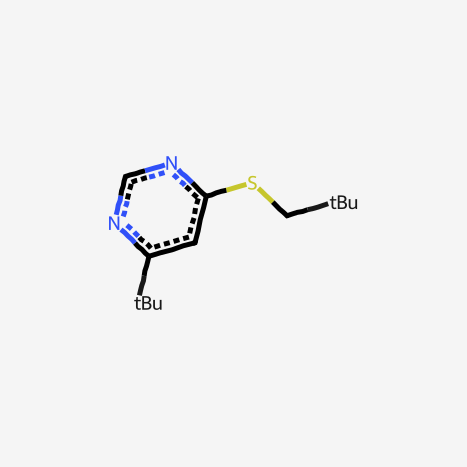 CC(C)(C)CSc1cc(C(C)(C)C)ncn1